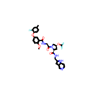 COc1ccc(Oc2ccc(C)cc2F)cc1C(=O)NCC(=O)N1C[C@H](OC(F)F)C[C@H]1C(=O)NCc1cc2cnccc2[nH]1